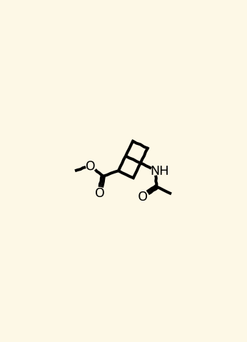 COC(=O)C1CC2(NC(C)=O)CCC12